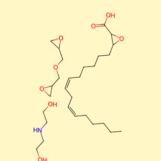 C(OCC1CO1)C1CO1.CCCCC/C=C\C/C=C\CCCCCC1OC1C(=O)O.OCCNCCO